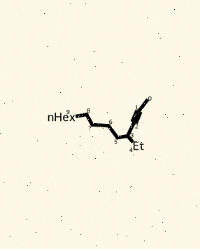 CC#CC(CC)CCCCCCCCCC